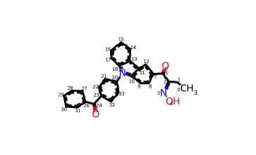 CCC(=NO)C(=O)c1ccc2c(c1)c1ccccc1n2-c1ccc(C(=O)c2ccccc2)cc1